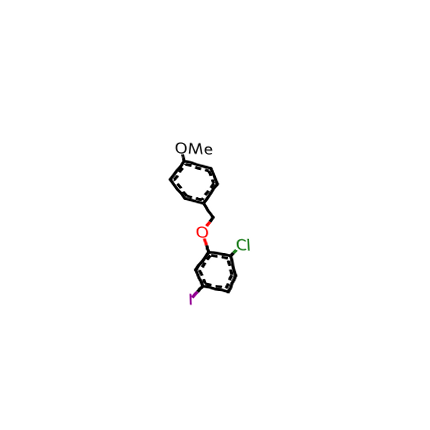 COc1ccc(COc2cc(I)ccc2Cl)cc1